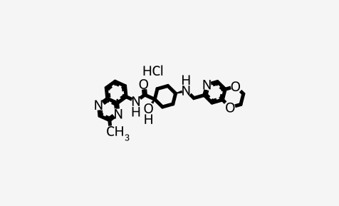 Cc1cnc2cccc(NC(=O)[C@]3(O)CC[C@@H](NCc4cc5c(cn4)OCCO5)CC3)c2n1.Cl